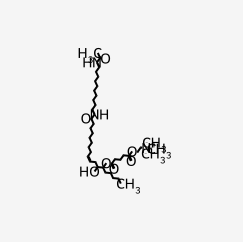 CCCCCC(OC(=O)CCCC(=O)OCC[N+](C)(C)C)C(O)C/C=C\CCCCCCCC(=O)NCCCCCCCCCCNC(C)=O